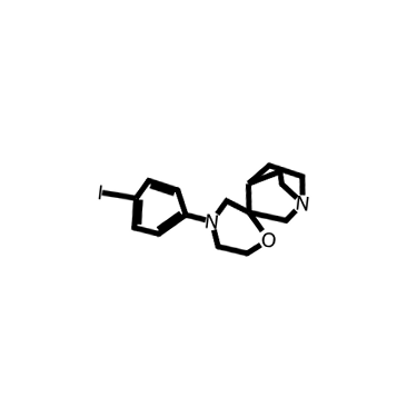 Ic1ccc(N2CCOC3(CN4CCC3CC4)C2)cc1